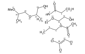 CCCC(=O)CC(=O)O.CCCOC(C)=O.CCOCCO.COC(C)COC(C)CO.ClC=C(Cl)Cl